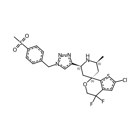 C[C@H]1C[C@@]2(C[C@@H](c3cn(Cc4ccc(S(C)(=O)=O)cc4)nn3)N1)OCC(F)(F)c1cc(Cl)sc12